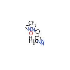 CC(Cc1nncn1C)c1cccc(-n2cc3c(C(F)(F)F)cccn3c2=O)c1